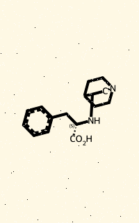 O=C(O)[C@H](Cc1ccccc1)NC1CN2CCC1CC2